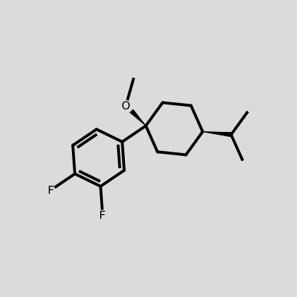 CO[C@]1(c2ccc(F)c(F)c2)CC[C@H](C(C)C)CC1